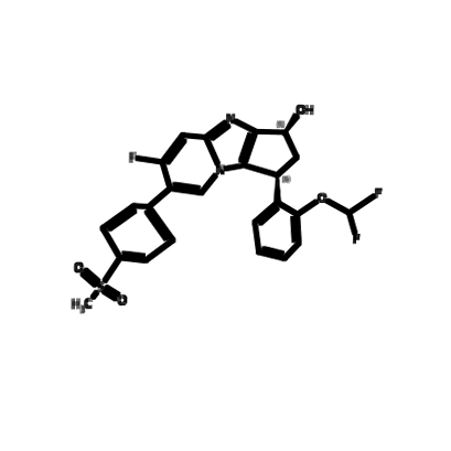 CS(=O)(=O)c1ccc(-c2cn3c4c(nc3cc2F)[C@@H](O)C[C@H]4c2ccccc2OC(F)F)cc1